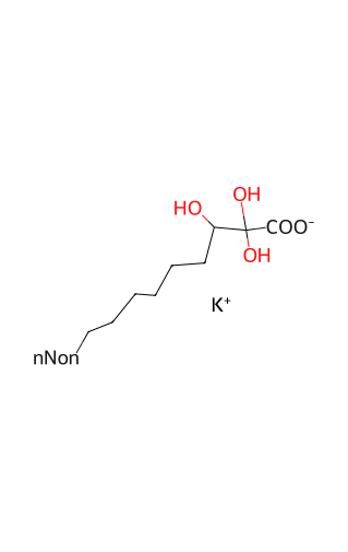 CCCCCCCCCCCCCCCC(O)C(O)(O)C(=O)[O-].[K+]